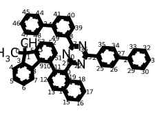 CC1(C)c2ccccc2-c2c(-c3ccc4ccccc4c3-c3nc(-c4ccc(-c5ccccc5)cc4)nc(-c4cccc(-c5ccccc5)c4)n3)cccc21